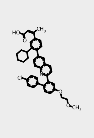 COCCOc1ccc(-c2ccc(Cl)cc2)c(-c2ccc3cc(-c4ccc(/C(C)=C\C(=O)O)cc4C4CCCCC4)ccc3n2)c1